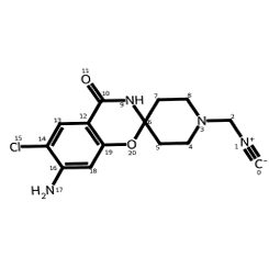 [C-]#[N+]CN1CCC2(CC1)NC(=O)c1cc(Cl)c(N)cc1O2